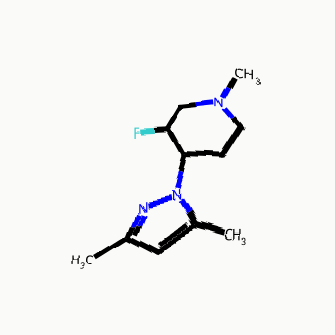 Cc1cc(C)n(C2CCN(C)CC2F)n1